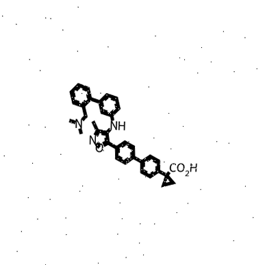 Cc1noc(-c2ccc(-c3ccc(C4(C(=O)O)CC4)cc3)cc2)c1Nc1cccc(-c2ccccc2CN(C)C)c1